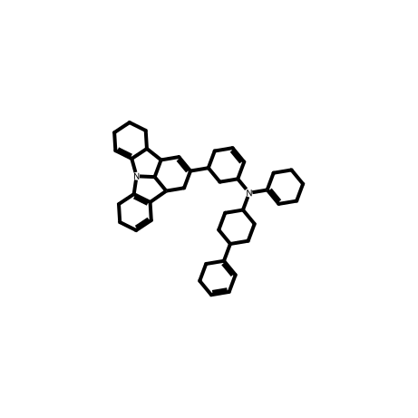 C1=CCCC(C2CCC(N(C3=CCCCC3)C3C=CCC(C4=CC5C6CCCC=C6N6C7=C(C=CCC7)C(C4)C56)C3)CC2)=C1